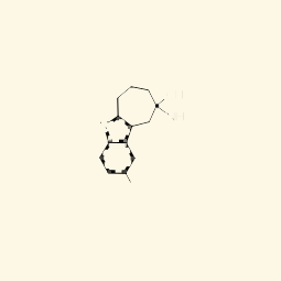 CC1(N)CCCc2[nH]c3ccc(F)cc3c2C1